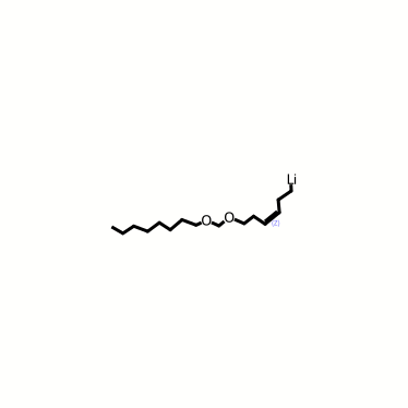 [Li][CH2]C/C=C\CCOCOCCCCCCCC